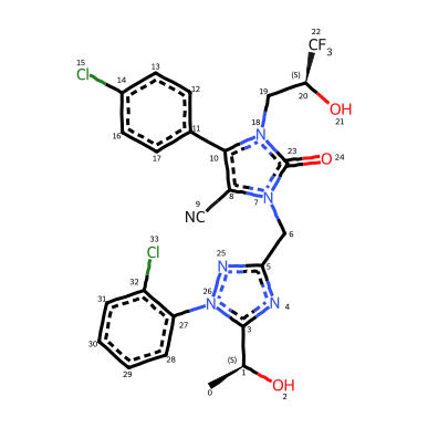 C[C@H](O)c1nc(Cn2c(C#N)c(-c3ccc(Cl)cc3)n(C[C@H](O)C(F)(F)F)c2=O)nn1-c1ccccc1Cl